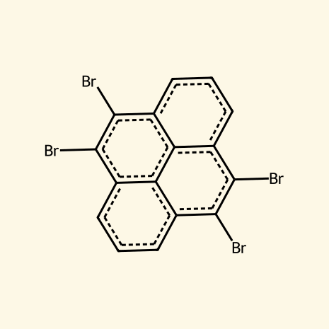 Brc1c(Br)c2cccc3c(Br)c(Br)c4cccc1c4c23